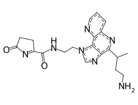 CC(CCN)c1nc2cccnc2c2c1ncn2CCNC(=O)C1=NC(=O)CC1